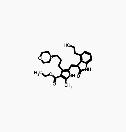 CCOC(=O)c1c(C)[nH]c(C=C2C(=O)Nc3cccc(CCO)c32)c1CCCN1CCOCC1